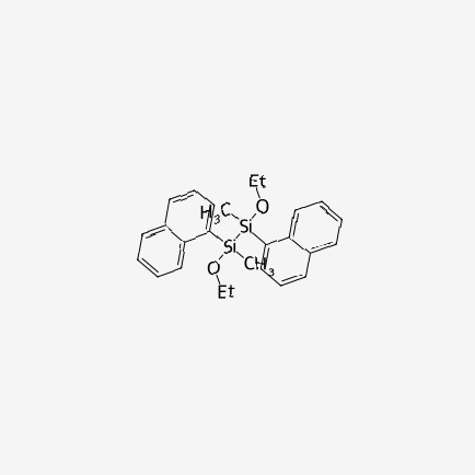 CCO[Si](C)(c1cccc2ccccc12)[Si](C)(OCC)c1cccc2ccccc12